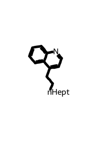 [CH2]CCCCCCCCc1ccnc2ccccc12